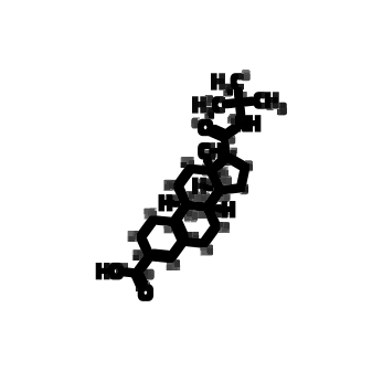 CC(C)(C)NC(=O)[C@H]1CC[C@H]2[C@@H]3CCC4=C(CCC(C(=O)O)=C4)[C@H]3CC[C@]12C